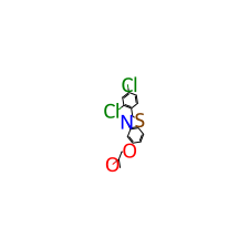 Clc1ccc(-c2nc3cc(OCC4CO4)ccc3s2)c(Cl)c1